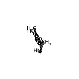 CC[C@@H](O)COc1ccc2c(=O)n(-c3ccc(OCCC4CCCN4)c(OC)c3)ccc2c1